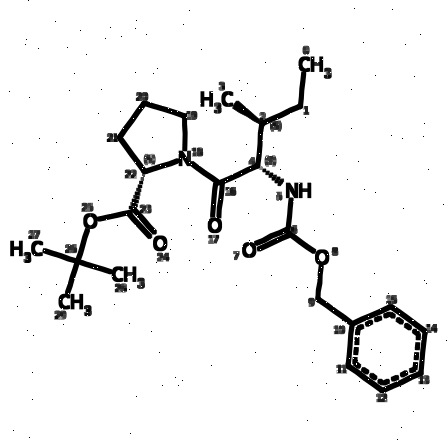 CC[C@H](C)[C@H](NC(=O)OCc1ccccc1)C(=O)N1CCC[C@H]1C(=O)OC(C)(C)C